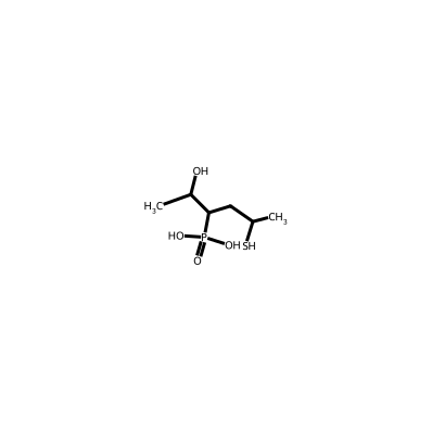 CC(S)CC(C(C)O)P(=O)(O)O